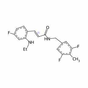 CCNc1cc(F)ccc1/C=C/C(=O)NCc1cc(F)c(C)c(F)c1